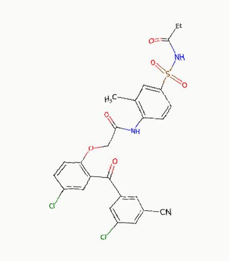 CCC(=O)NS(=O)(=O)c1ccc(NC(=O)COc2ccc(Cl)cc2C(=O)c2cc(Cl)cc(C#N)c2)c(C)c1